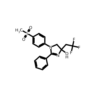 CS(=O)(=O)c1ccc(N2CC(O)(CC(F)(F)F)N=C2c2ccccc2)cc1